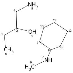 CCC(O)CN.CNC1CCCCC1